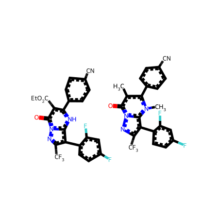 CCOC(=O)c1c(-c2ccc(C#N)cc2)[nH]c2c(-c3ccc(F)cc3F)c(C(F)(F)F)nn2c1=O.Cc1c(-c2ccc(C#N)cc2)n(C)c2c(-c3ccc(F)cc3F)c(C(F)(F)F)nn2c1=O